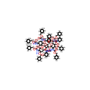 [N-]=[N+]=NC[C@@H]1C[C@H](OC(=O)c2ccccc2)[C@@H](NC(=O)OCc2ccccc2)[C@@H](O[C@H]2[C@H](O[C@@H]3O[C@H](COC(=O)c4ccccc4)[C@@H](O[C@H]4O[C@@H](CNC(=O)OCc5ccccc5)[C@@H](OC(=O)c5ccccc5)[C@H](OC(=O)c5ccccc5)[C@H]4NC(=O)OCc4ccccc4)[C@H]3OC(=O)c3ccccc3)[C@@H](OC(=O)c3ccccc3)[C@H](NC(=O)OCc3ccccc3)C[C@@H]2NC(=O)OCc2ccccc2)O1